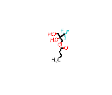 CCCC(=O)OC[C@](O)(CO)C(F)(F)F